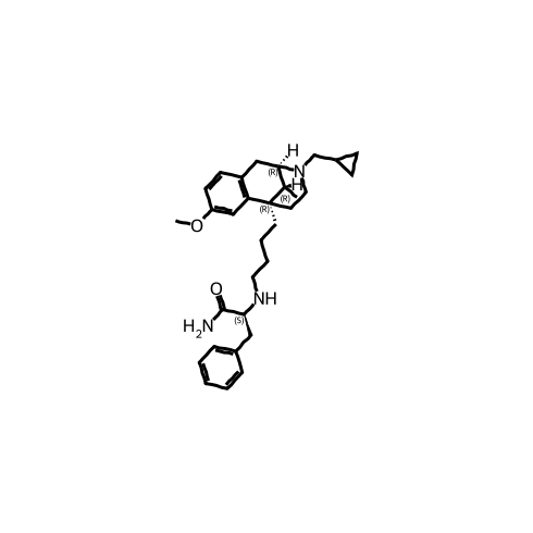 COc1ccc2c(c1)[C@]1(CCCCN[C@@H](Cc3ccccc3)C(N)=O)CCN(CC3CC3)[C@H](C2)[C@@H]1C